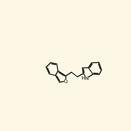 c1ccc2[nH]c(CCc3occ4ccccc34)cc2c1